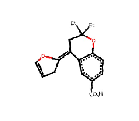 CCC1(CC)CC(=C2CC=CO2)c2cc(C(=O)O)ccc2O1